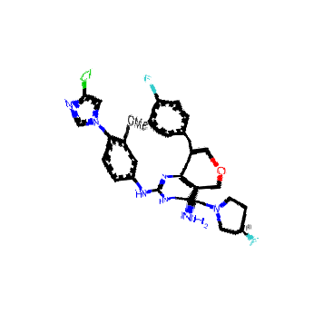 COc1cc(NC2=NC3=C(COCC3c3ccc(F)cc3)C(N)(N3CC[C@@H](F)C3)N2)ccc1-n1cnc(Cl)c1